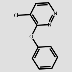 Clc1ccnnc1Oc1ccccc1